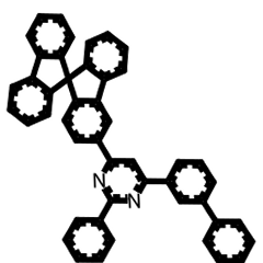 c1ccc(-c2cccc(-c3cc(-c4ccc5c(c4)-c4ccccc4C54c5ccccc5-c5ccccc54)nc(-c4ccccc4)n3)c2)cc1